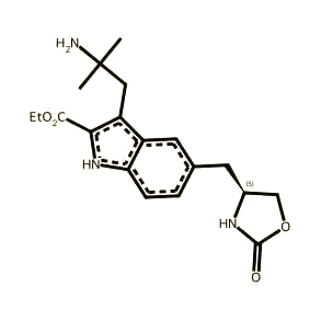 CCOC(=O)c1[nH]c2ccc(C[C@H]3COC(=O)N3)cc2c1CC(C)(C)N